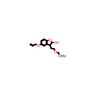 C=CCOc1ccc2c(c1)C(CCOCOC)C(O)O2